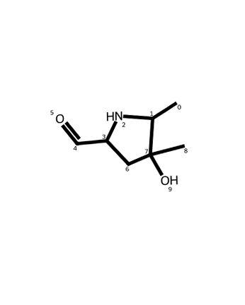 CC1NC(C=O)CC1(C)O